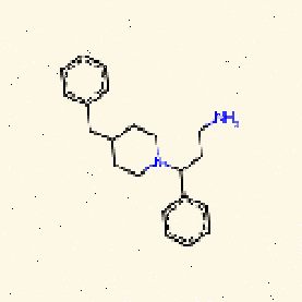 NCCC(c1ccccc1)N1CCC(Cc2ccccc2)CC1